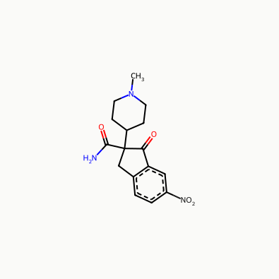 CN1CCC(C2(C(N)=O)Cc3ccc([N+](=O)[O-])cc3C2=O)CC1